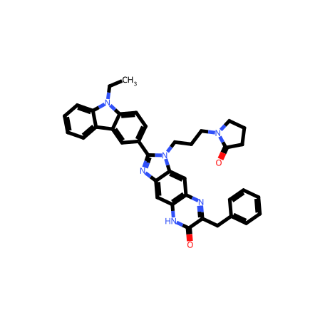 CCn1c2ccccc2c2cc(-c3nc4cc5[nH]c(=O)c(Cc6ccccc6)nc5cc4n3CCCN3CCCC3=O)ccc21